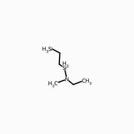 CCN(C)[SiH2]CC[SiH3]